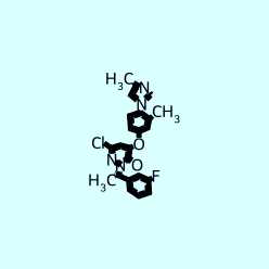 Cc1cn(-c2ccc(Oc3cc(Cl)nn([C@@H](C)c4cccc(F)c4)c3=O)cc2C)cn1